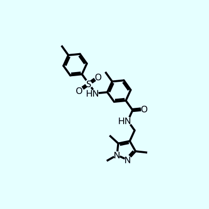 Cc1ccc(S(=O)(=O)Nc2cc(C(=O)NCc3c(C)nn(C)c3C)ccc2C)cc1